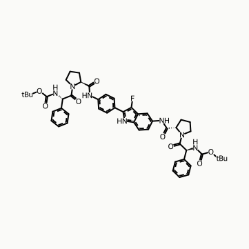 CC(C)(C)OC(=O)N[C@H](C(=O)N1CCC[C@H]1C(=O)Nc1ccc(-c2[nH]c3ccc(NC(=O)[C@@H]4CCCN4C(=O)[C@@H](NC(=O)OC(C)(C)C)c4ccccc4)cc3c2F)cc1)c1ccccc1